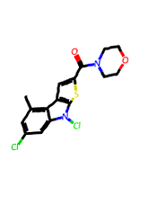 Cc1cc(Cl)cc2c1c1cc(C(=O)N3CCOCC3)sc1n2Cl